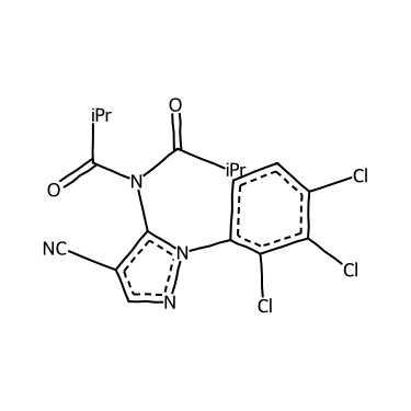 CC(C)C(=O)N(C(=O)C(C)C)c1c(C#N)cnn1-c1ccc(Cl)c(Cl)c1Cl